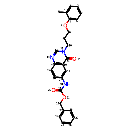 Cc1ccccc1OCCCn1cnc2ccc(NC(=O)OCc3ccccc3)cc2c1=O